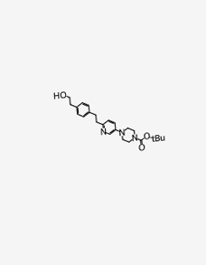 CC(C)(C)OC(=O)N1CCN(c2ccc(CCc3ccc(CCO)cc3)nc2)CC1